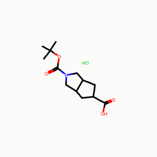 CC(C)(C)OC(=O)N1CC2CC(C(=O)O)CC2C1.Cl